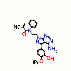 C=C(C#N)C(=O)N(CCn1nc(-c2ccc(OC(C)C)c(O)c2)c2c(N)ncnc21)c1ccccc1